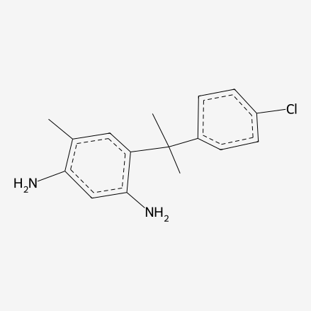 Cc1cc(C(C)(C)c2ccc(Cl)cc2)c(N)cc1N